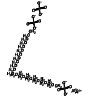 O.O.O.O.O.O.O.O.O.O.O.O.O.O.O.O.O.O.O.O.O.O.O.O.O=S(=O)([O-])[O-].O=S(=O)([O-])[O-].O=S(=O)([O-])[O-].[Al+3].[Al+3]